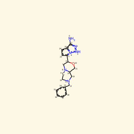 Nc1n[nH]n2c(C3CN4CCN(Cc5ccccc5)CC4CO3)ccc12